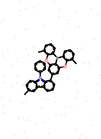 Cc1ccc2c(c1)c1cccc(-c3cc4c5c(c3)Oc3c(C)cccc3B5c3cccc(C)c3O4)c1n2-c1ccccc1